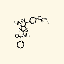 O=C(Nc1nc2[nH]nc(-c3ccc(OC(F)(F)F)cc3)c2s1)c1ccccc1